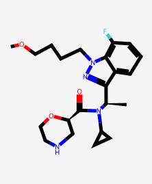 COCCCCn1nc([C@@H](C)N(C(=O)[C@H]2CNCCO2)C2CC2)c2cccc(F)c21